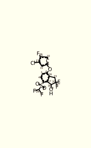 O=S(=O)(c1ccc(Oc2ccc(F)c(Cl)c2)c2c1C(O)C(F)(F)C2)C(F)F